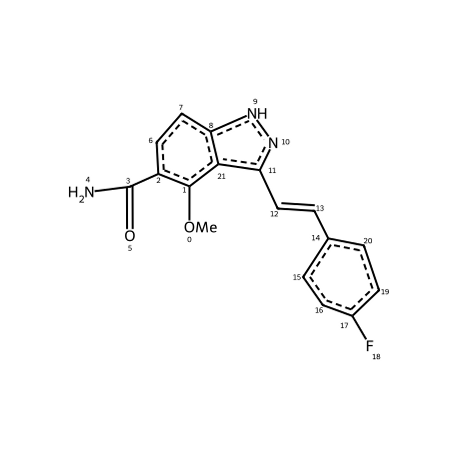 COc1c(C(N)=O)ccc2[nH]nc(C=Cc3ccc(F)cc3)c12